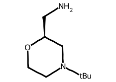 CC(C)(C)N1CCO[C@@H](CN)C1